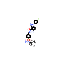 CC(C)NS(=O)(=O)c1ccc(CNC(=O)c2cccc3c2cnn3-c2ccc(F)cc2)cc1